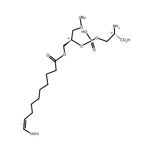 CCCCCCCC/C=C\CCCCCCCC(=O)OC[C@@H](COCCCC)OP(=O)(O)OC[C@H](N)C(=O)O